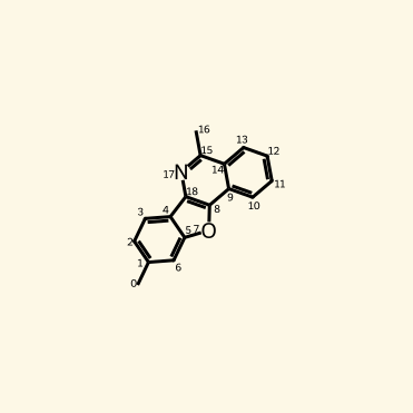 Cc1ccc2c(c1)oc1c3ccccc3c(C)nc21